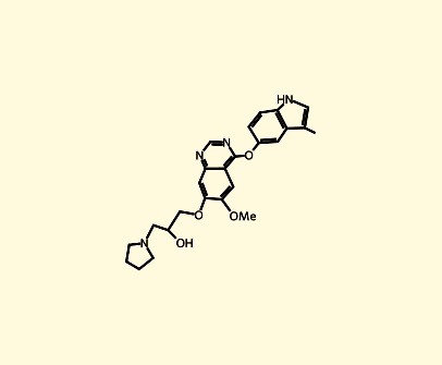 COc1cc2c(Oc3ccc4[nH]cc(C)c4c3)ncnc2cc1OCC(O)CN1CCCC1